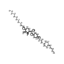 CCCCCCCCCCCCOc1ccc(C(=O)Oc2ccc(OC/C=C/[C@H]3CC[C@H](CCCCC)CC3)cc2)c(F)c1F